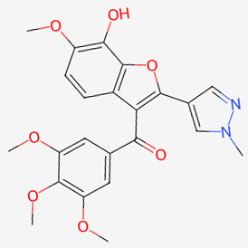 COc1cc(C(=O)c2c(-c3cnn(C)c3)oc3c(O)c(OC)ccc23)cc(OC)c1OC